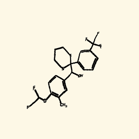 Cc1cc(C(O)C2(c3cccc(C(F)(F)F)c3)SCCCS2)ccc1OC(F)F